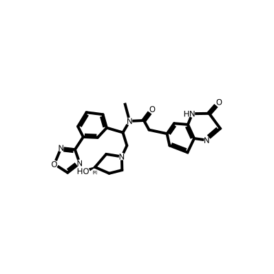 CN(C(=O)Cc1ccc2ncc(=O)[nH]c2c1)C(CN1CC[C@@H](O)C1)c1cccc(-c2ncon2)c1